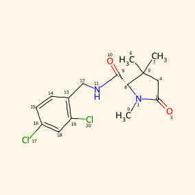 CN1C(=O)CC(C)(C)[C@H]1C(=O)NCc1ccc(Cl)cc1Cl